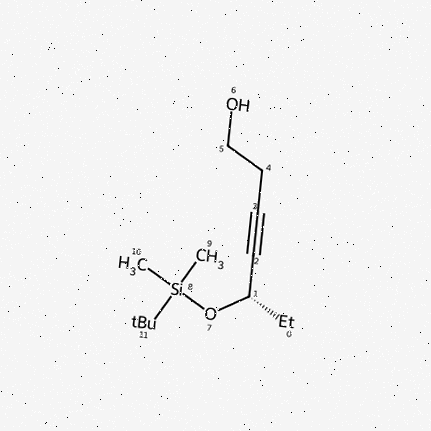 CC[C@@H](C#CCCO)O[Si](C)(C)C(C)(C)C